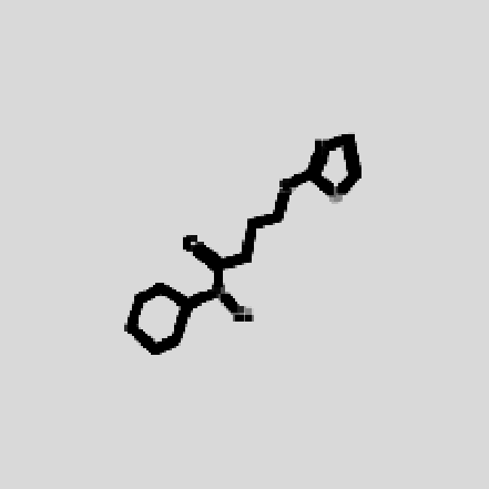 CCN(C(=O)CCCSc1nccs1)C1CCCCC1